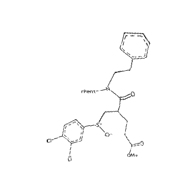 CCCCCN(CCc1ccccc1)C(=O)C(CCC(=O)OC)C[S+]([O-])c1ccc(Cl)c(Cl)c1